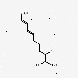 CCCCCCCCC(O)C(O)CCCC=CC=CC(=O)O